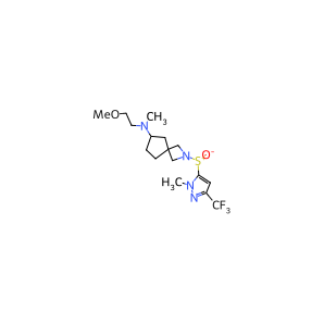 COCCN(C)C1CCC2(C1)CN([S+]([O-])c1cc(C(F)(F)F)nn1C)C2